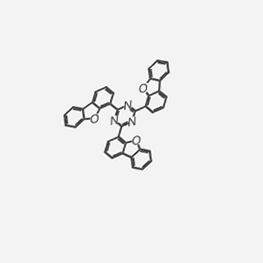 c1ccc2c(c1)oc1c(-c3nc(-c4cccc5c4oc4ccccc45)nc(-c4cccc5c4oc4ccccc45)n3)cccc12